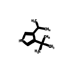 CC(C)c1c[nH]cc1C(C)(C)C